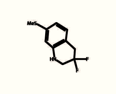 CSc1ccc2c(c1)NCC(F)(F)C2